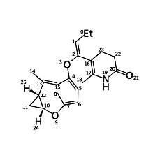 CC/C=C(/OC1=C/C=C(\C)O[C@@H]2C[C@@H]2\C(C)=C\1)C1=C(C)NC(=O)CC1